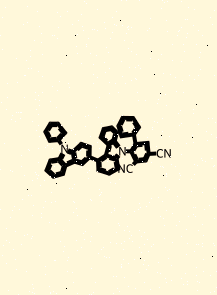 N#Cc1cc(C#N)c(-n2c3ccccc3c3c(-c4ccc5c(c4)c4ccccc4n5-c4ccccc4)cccc32)c(-c2ccccc2)c1